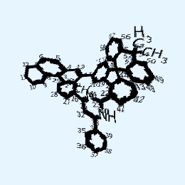 CC1Cc2c(ccc3c2C=CCC3)C=C1c1ccc2c(c1)-c1c(C3N=C(c4ccccc4)C=C(c4ccccc4)N3)cccc1C21c2ccccc2C(C)(C)c2ccccc21